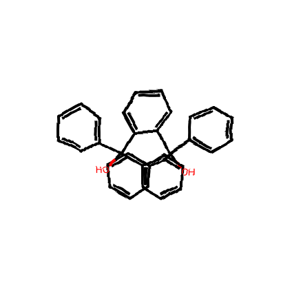 OC(c1ccccc1)(c1ccccc1)c1ccccc1C(O)(c1ccccc1)c1ccccc1